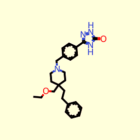 CCOCC1(CCc2ccccc2)CCN(Cc2ccc(-c3n[nH]c(=O)[nH]3)cc2)CC1